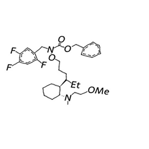 CCC(CCCON(Cc1cc(F)c(F)cc1F)C(=O)OCc1ccccc1)[C@@H]1CCCC[C@H]1N(C)CCOC